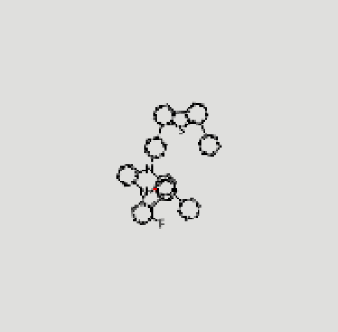 Fc1cccc2c1c1ccccc1n2-c1ccccc1N(c1ccc(-c2ccccc2)cc1)c1ccc(-c2cccc3c2sc2c(-c4ccccc4)cccc23)cc1